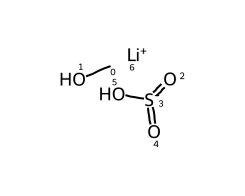 CO.O=[S-](=O)O.[Li+]